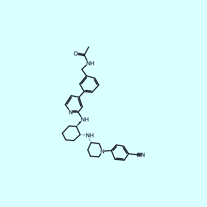 CC(=O)NCc1cccc(-c2ccnc(N[C@@H]3CCCC[C@H]3N[C@H]3CCCN(c4ccc(C#N)cc4)C3)c2)c1